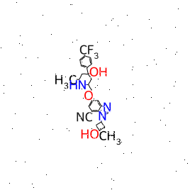 CC1CC(O)(c2ccc(C(F)(F)F)cc2)CC(COc2cc(C#N)c3c(c2)ncn3C2CC(C)(O)C2)N1